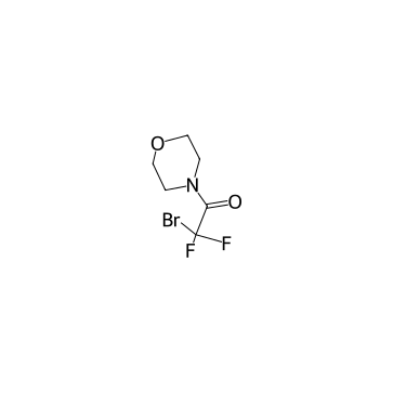 O=C(N1CCOCC1)C(F)(F)Br